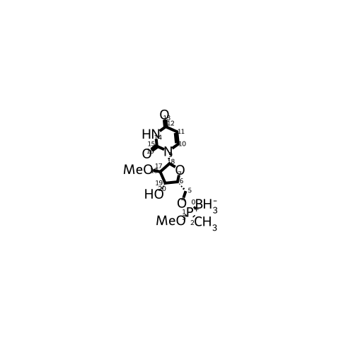 [BH3-][P+](C)(OC)OC[C@H]1O[C@@H](n2ccc(=O)[nH]c2=O)C(OC)[C@H]1O